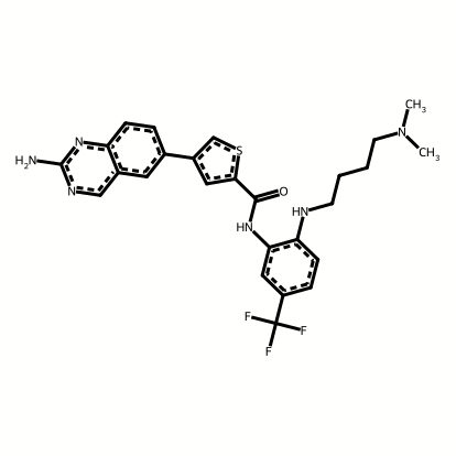 CN(C)CCCCNc1ccc(C(F)(F)F)cc1NC(=O)c1cc(-c2ccc3nc(N)ncc3c2)cs1